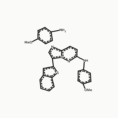 COc1ccc(N)cc1.COc1ccc(Nc2ccc3ncc(-c4cc5ccccc5s4)n3n2)cc1